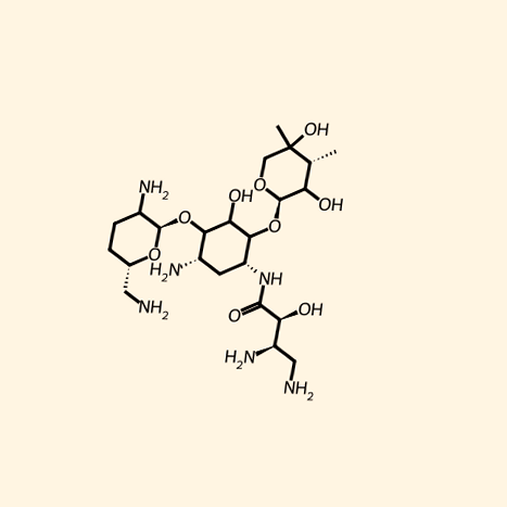 C[C@@H]1C(O)[C@@H](OC2C(O)C(O[C@H]3O[C@H](CN)CCC3N)[C@@H](N)C[C@H]2NC(=O)[C@@H](O)[C@H](N)CN)OCC1(C)O